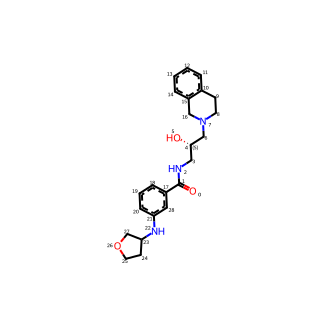 O=C(NC[C@H](O)CN1CCc2ccccc2C1)c1cccc(NC2CCOC2)c1